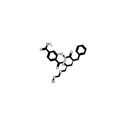 CCOCOC[C@H](C[C@H](Cc1ccccc1)C(=O)NO)NC(=O)c1ccc(C(N)=O)cc1